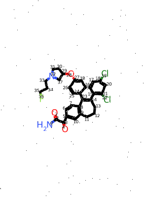 NC(=O)C(=O)c1ccc2c(c1)CCCC(c1ccc(Cl)cc1Cl)=C2C1C=CC(OC2CCN(CCCF)C2)=CC1